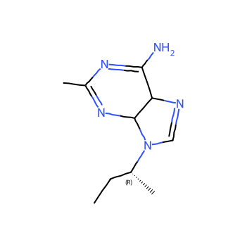 CC[C@@H](C)N1C=NC2C(N)=NC(C)=NC21